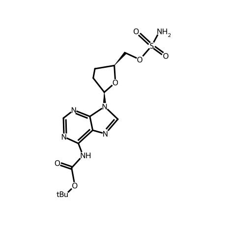 CC(C)(C)OC(=O)Nc1ncnc2c1ncn2[C@H]1CC[C@@H](COS(N)(=O)=O)O1